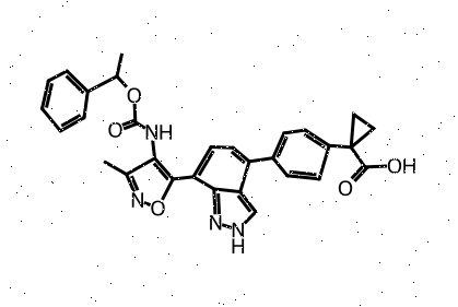 Cc1noc(-c2ccc(-c3ccc(C4(C(=O)O)CC4)cc3)c3c[nH]nc23)c1NC(=O)OC(C)c1ccccc1